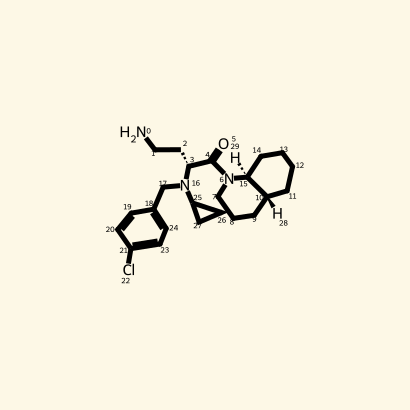 NCC[C@H](C(=O)N1CCC[C@H]2CCCC[C@@H]21)N(Cc1ccc(Cl)cc1)C1CC1